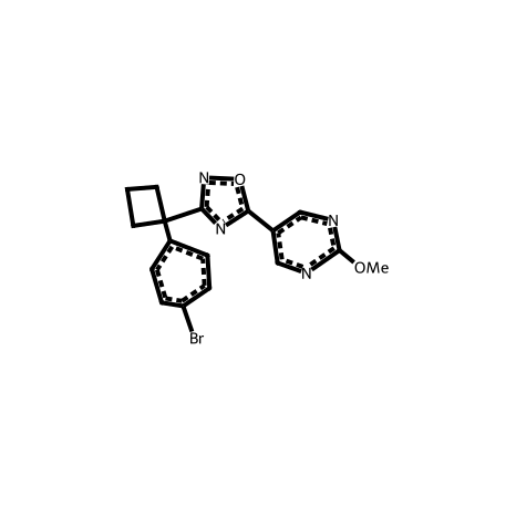 COc1ncc(-c2nc(C3(c4ccc(Br)cc4)CCC3)no2)cn1